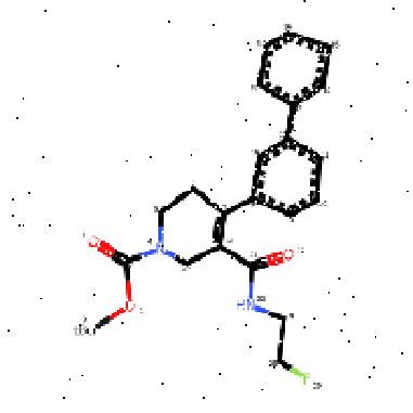 CC(C)(C)OC(=O)N1CCC(c2cccc(-c3ccccc3)c2)=C(C(=O)NCCF)C1